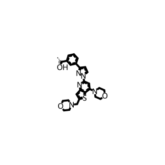 C[C@@H](O)c1cccc(-c2ccn(-c3cc(N4CCOCC4)c4sc(CN5CCOCC5)cc4n3)n2)c1